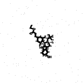 CCOC(=O)/C=C/c1cc(F)c([C@@H]2c3[nH]c4ccc(O)cc4c3C[C@@H](C)N2CC(C)(C)F)c(F)c1